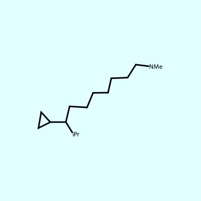 CNCCCCCCCC(C(C)C)C1CC1